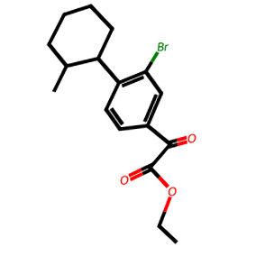 CCOC(=O)C(=O)c1ccc(C2CCCCC2C)c(Br)c1